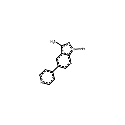 CCCn1nc(N)c2cc(-c3ccncc3)cnc21